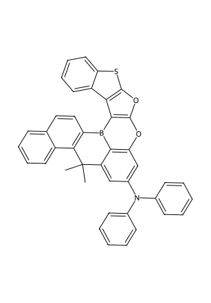 CC1(C)c2cc(N(c3ccccc3)c3ccccc3)cc3c2B(c2ccc4ccccc4c21)c1c(oc2sc4ccccc4c12)O3